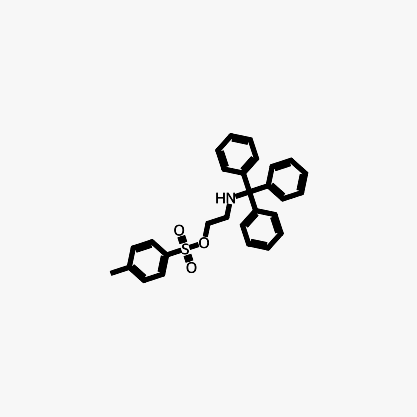 Cc1ccc(S(=O)(=O)OCCNC(c2ccccc2)(c2ccccc2)c2ccccc2)cc1